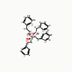 [O]=[Ti]([CH2]Cc1ccccc1)([CH2]Cc1ccccc1)([O]CCc1ccccc1)[O]CCc1ccccc1